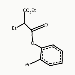 CCOC(=O)C(CC)C(=O)Oc1ccccc1C(C)C